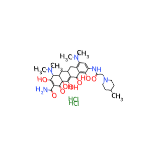 CC1CCN(CC(=O)Nc2cc(N(C)C)c3c(c2O)C(=O)C2=C(O)[C@]4(O)C(=O)C(C(N)=O)=C(O)[C@@H](N(C)C)C4CC2C3)CC1.Cl.Cl